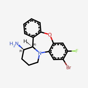 N[C@@H]1CCCN2c3cc(Br)c(F)cc3Oc3ccccc3[C@H]12